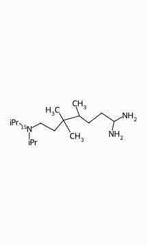 CC(C)[15N](CCC(C)(C)C(C)CCC(N)N)C(C)C